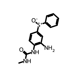 CNC(=O)Nc1ccc([S+]([O-])c2ccccc2)cc1N